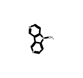 Cn1c2ccncc2c2cnccc21